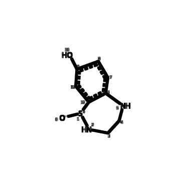 [O-][S+]1NCCNc2ccc(O)cc21